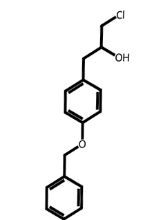 OC(CCl)Cc1ccc(OCc2ccccc2)cc1